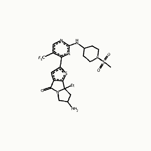 CCC12CC(N)CN1C(=O)c1cc(-c3nc(NC4CCN(S(C)(=O)=O)CC4)ncc3C(F)(F)F)sc12